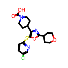 O=C(O)N1CCC(c2nc(C3CCOCC3)oc2Sc2ccc(Cl)cn2)CC1